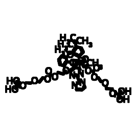 COc1ccccc1Oc1c(OCCOC(=O)OCCOCCON(O)O)nc(-c2ncccn2)nc1N(C(C)OC(=O)OCCOCCON(O)O)S(=O)(=O)c1ccc(C(C)(C)C)cc1